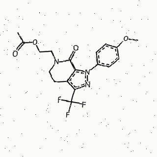 COc1ccc(-n2nc(C(F)(F)F)c3c2C(=O)N(CCOC(C)=O)CC3)cc1